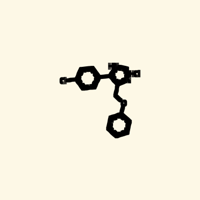 Cl.Clc1ccc(-c2[nH]cnc2COc2ccccc2)cc1